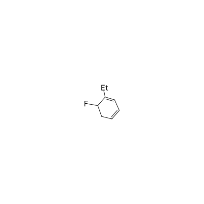 CCC1=CC=CCC1F